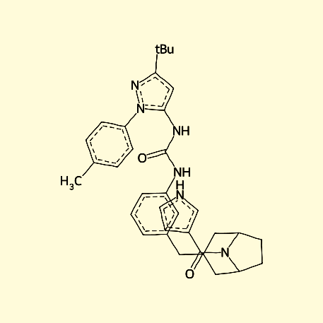 Cc1ccc(-n2nc(C(C)(C)C)cc2NC(=O)Nc2cccc(CC3CC4CCC(C3)N4C(=O)c3cc[nH]c3)c2)cc1